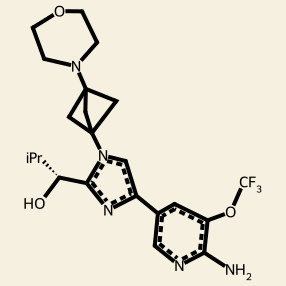 CC(C)[C@@H](O)c1nc(-c2cnc(N)c(OC(F)(F)F)c2)cn1C12CC(N3CCOCC3)(C1)C2